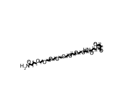 NC(=O)CCCOCCOCCOCCOCCOCCOCCOCCOCCNC(=O)CCN1C(=O)C=CC1=O